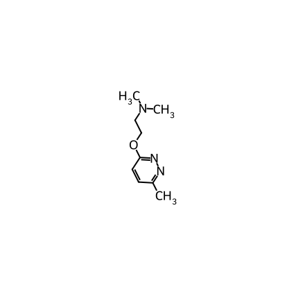 Cc1ccc(OCCN(C)C)nn1